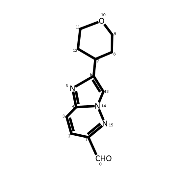 O=Cc1ccc2nc(C3CCOCC3)cn2n1